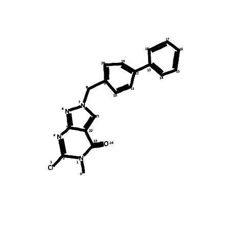 Cn1c(Cl)nc2nn(Cc3ccc(-c4ccccc4)cc3)cc2c1=O